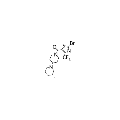 C[C@@H]1CCCN(C2CCN(C(=O)c3sc(Br)nc3C(F)(F)F)CC2)C1